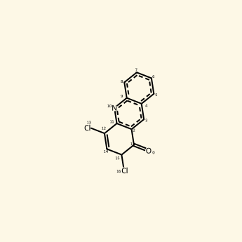 O=C1c2cc3ccccc3nc2C(Cl)=CC1Cl